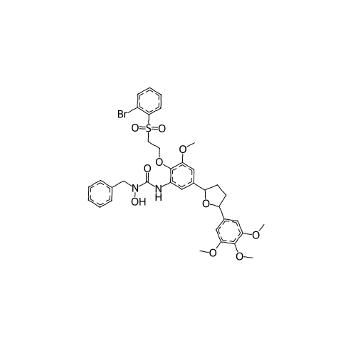 COc1cc(C2CCC(c3cc(OC)c(OC)c(OC)c3)O2)cc(NC(=O)N(O)Cc2ccccc2)c1OCCS(=O)(=O)c1ccccc1Br